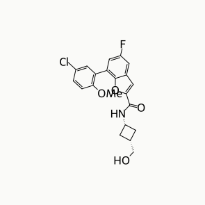 COc1ccc(Cl)cc1-c1cc(F)cc2cc(C(=O)N[C@H]3C[C@@H](CO)C3)oc12